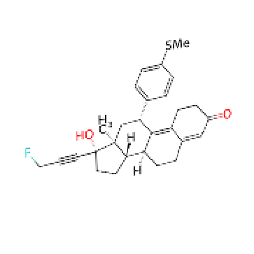 CSc1ccc([C@H]2C[C@@]3(C)[C@@H](CC[C@@]3(O)C#CCF)[C@@H]3CCC4=CC(=O)CCC4=C32)cc1